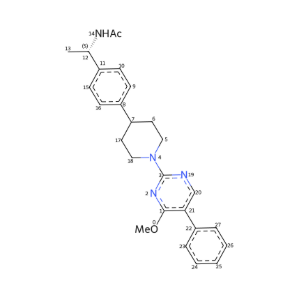 COc1nc(N2CCC(c3ccc([C@H](C)NC(C)=O)cc3)CC2)ncc1-c1ccccc1